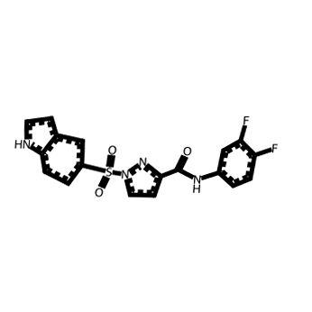 O=C(Nc1ccc(F)c(F)c1)c1ccn(S(=O)(=O)c2ccc3[nH]ccc3c2)n1